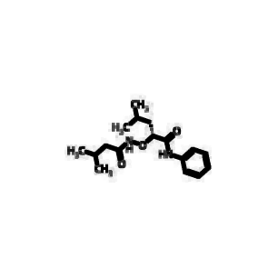 CC(C)CC(=O)NO[C@H](CC(C)C)C(=O)Nc1ccccc1